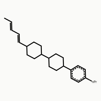 C/C=C/C=C/C1CCC(C2CCC(c3ccc(CCC)cc3)CC2)CC1